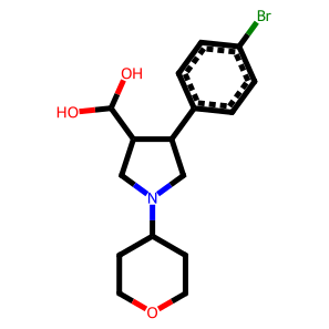 OC(O)C1CN(C2CCOCC2)CC1c1ccc(Br)cc1